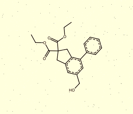 CCOC(=O)C1(C(=O)OCC)Cc2cc(CO)cc(-c3ccccc3)c2C1